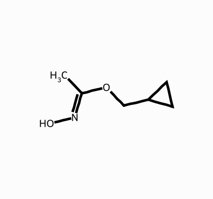 CC(=NO)OCC1CC1